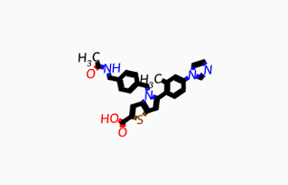 CC(=O)NCc1ccc(Cn2c(-c3ccc(-n4ccnc4)cc3C)cc3sc(C(=O)O)cc32)cc1